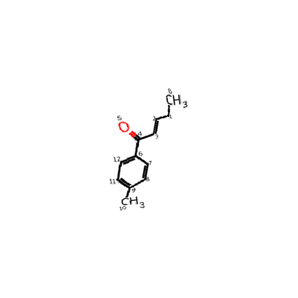 CC/C=C/C(=O)c1ccc(C)cc1